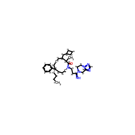 CCCC[C@]1(c2ccccc2)CCCC(CC2CCC2)C(C)C(=O)N(CCC(=N)N2CCn3ncnc3C2)CCC1